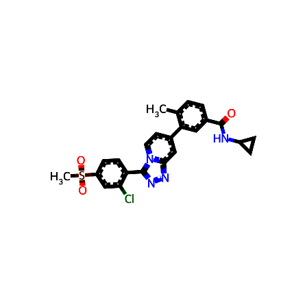 Cc1ccc(C(=O)NC2CC2)cc1-c1ccn2c(-c3ccc(S(C)(=O)=O)cc3Cl)nnc2c1